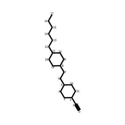 C#CC1CCC(CCC2CCC(CCCCCC)CC2)CC1